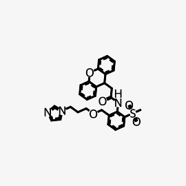 CS(=O)(=O)c1cccc(COCCCn2ccnc2)c1NC(=O)CC1c2ccccc2Oc2ccccc21